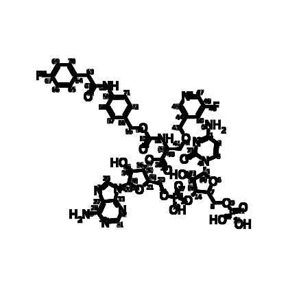 Nc1ccn([C@@H]2OC(COP(=O)(O)O)[C@@H](OP(=O)(O)OC[C@H]3O[C@@H](n4cnc5c(N)ncnc54)[C@H](O)[C@@H]3OC(=O)[C@H](COCc3cncc(F)c3)NC(=O)OCc3ccc(NC(=O)Cc4ccc(F)cc4)cc3)[C@H]2O)c(=O)n1